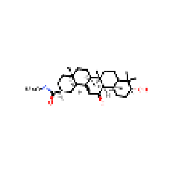 CONC(=O)[C@@]1(C)CC[C@]2(C)CC[C@]3(C)C(=CC(=O)[C@@H]4[C@@]5(C)CC[C@@H](O)C(C)(C)C5CC[C@]43C)[C@H]2C1